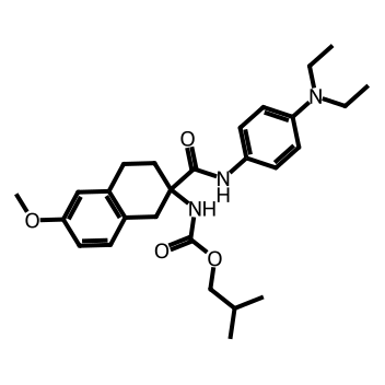 CCN(CC)c1ccc(NC(=O)C2(NC(=O)OCC(C)C)CCc3cc(OC)ccc3C2)cc1